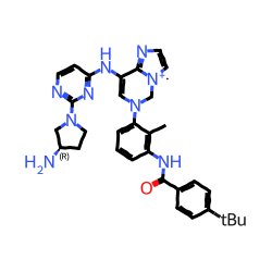 Cc1c(NC(=O)c2ccc(C(C)(C)C)cc2)cccc1N1C=C(Nc2ccnc(N3CC[C@@H](N)C3)n2)C2=NC=C[N+]2C1